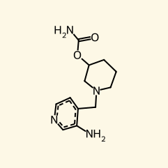 NC(=O)OC1CCCN(Cc2ccncc2N)C1